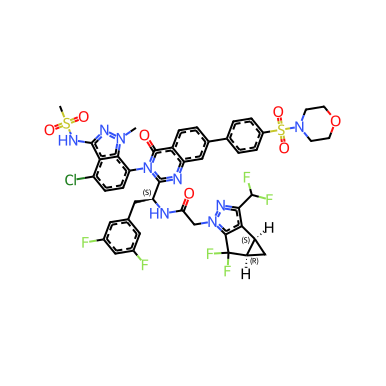 Cn1nc(NS(C)(=O)=O)c2c(Cl)ccc(-n3c([C@H](Cc4cc(F)cc(F)c4)NC(=O)Cn4nc(C(F)F)c5c4C(F)(F)[C@@H]4C[C@H]54)nc4cc(-c5ccc(S(=O)(=O)N6CCOCC6)cc5)ccc4c3=O)c21